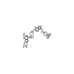 COc1nc(NC2CCN(Cc3ccc4c(cc(C)n4C[C@H](C)N4CCN(S(C)(=O)=O)CC4)c3C)CC2)c2cc(CC(F)(F)F)sc2n1